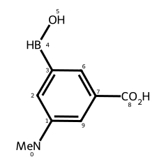 CNc1cc(BO)cc(C(=O)O)c1